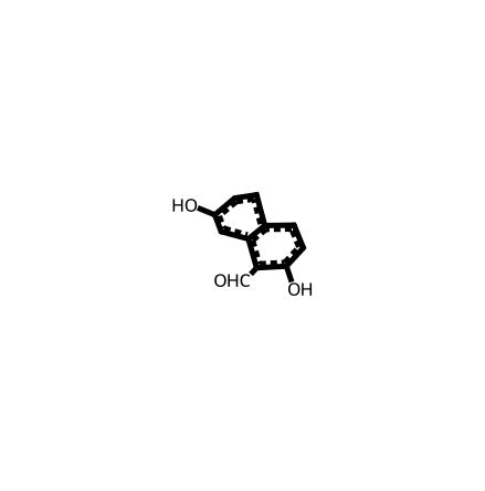 O=Cc1c(O)ccc2ccc(O)cc12